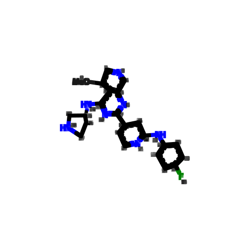 COc1cncc2nc(-c3ccnc(Nc4ccc(F)cc4)c3)nc(N[C@@H]3CCNC3)c12